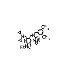 CCn1ncc2cc(CN(Cc3cc(C(F)(F)F)cc(C(F)(F)F)c3)c3nnn(C)n3)c(CN(C3CC3)C3CC3)nc21